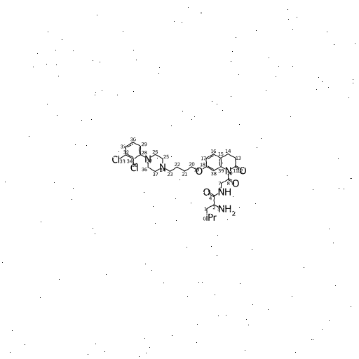 CC(C)CC(N)C(=O)NCC(=O)N1C(=O)CCc2ccc(OCCCCN3CCN(c4cccc(Cl)c4Cl)CC3)cc21